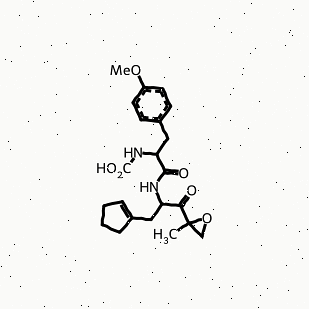 COc1ccc(CC(NC(=O)O)C(=O)NC(CC2=CCCC2)C(=O)C2(C)CO2)cc1